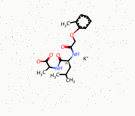 Cc1ccccc1OCC(=O)N[C@@H](CC(C)C)C(=O)NC(C)C(=O)[O-].[K+]